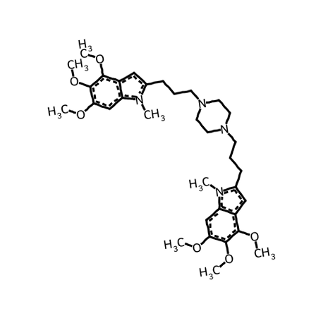 COc1cc2c(cc(CCCN3CCN(CCCc4cc5c(OC)c(OC)c(OC)cc5n4C)CC3)n2C)c(OC)c1OC